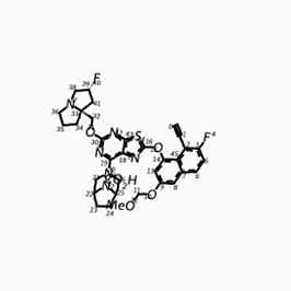 C#Cc1c(F)ccc2cc(OCOC)cc(Oc3nc4c(N5CC6CCC(C5)N6C(=O)O)nc(OC[C@@]56CCCN5C[C@H](F)C6)nc4s3)c12